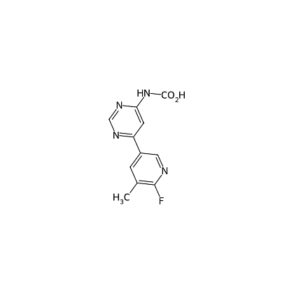 Cc1cc(-c2cc(NC(=O)O)ncn2)cnc1F